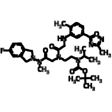 Cc1noc(-c2ccc(C)c(NCC(=O)N(CCN(C(=O)OC(C)(C)C)C(C)C)CC(=O)N(C)N3Cc4ccc(F)cc4C3)c2)n1